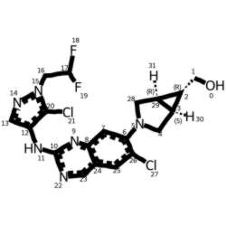 OC[C@@H]1[C@H]2CN(c3cc4nc(Nc5cnn(CC(F)F)c5Cl)ncc4cc3Cl)C[C@@H]12